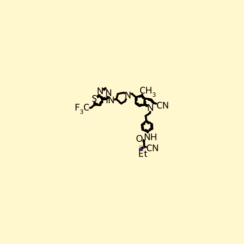 CC/C=C(\C#N)C(=O)Nc1ccc(CCn2c(C#N)cc3c(C)c(CN4CCC(Nc5ncnc6sc(CC(F)(F)F)cc56)CC4)ccc32)cc1